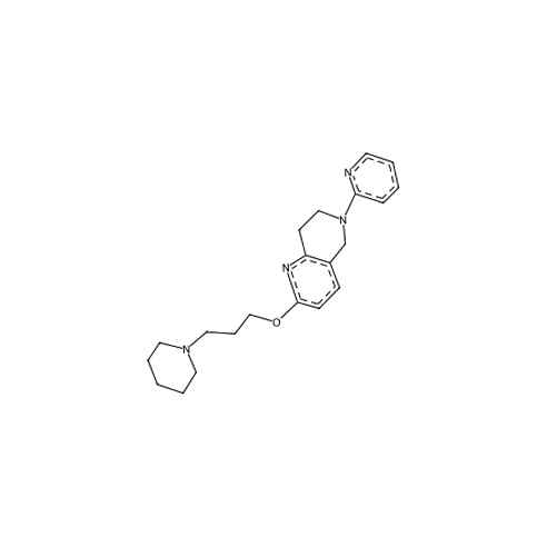 c1ccc(N2CCc3nc(OCCCN4CCCCC4)ccc3C2)nc1